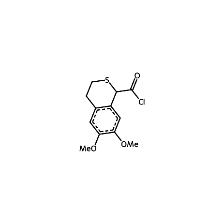 COc1cc2c(cc1OC)C(C(=O)Cl)SCC2